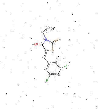 O=C(O)CN1C(=O)C(=Cc2cc(F)cc(F)c2)SC1=S